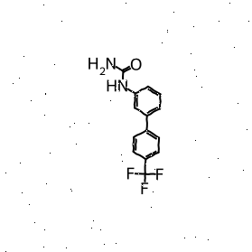 NC(=O)Nc1cccc(-c2ccc(C(F)(F)F)cc2)c1